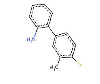 Cc1cc(-c2ccccc2N)ccc1F